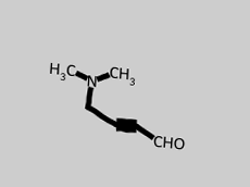 CN(C)CC#CC=O